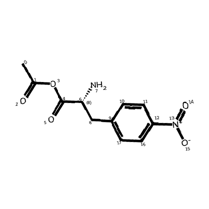 CC(=O)OC(=O)[C@H](N)Cc1ccc([N+](=O)[O-])cc1